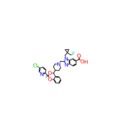 C[C@@]1(c2ccc(Cl)cn2)Oc2ccccc2C(C2CCN(Cc3nc4ccc(C(=O)O)cc4n3CC3(CF)CC3)CC2)O1